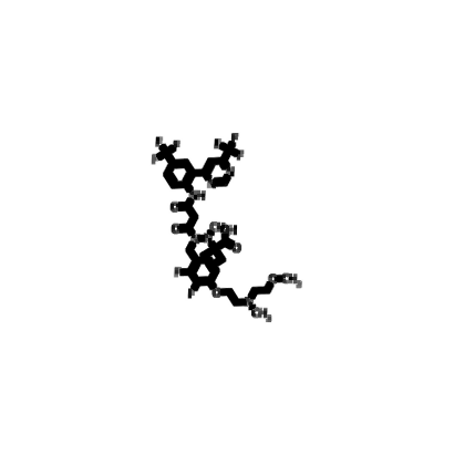 COCCN(C)CCOc1ccc(CN(C(=O)CC(=O)Nc2ccc(C(F)(F)F)cc2-c2cc(C(F)(F)F)ncn2)N(C)C2(C(=O)O)CCC2)c(F)c1F